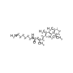 CC(C=CC1=C(C)CCCC1(C)C)=CC=CC(C)=CC(=O)NCCCCCCN